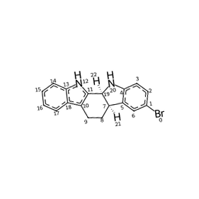 Brc1ccc2c(c1)[C@H]1CCc3c([nH]c4ccccc34)[C@H]1N2